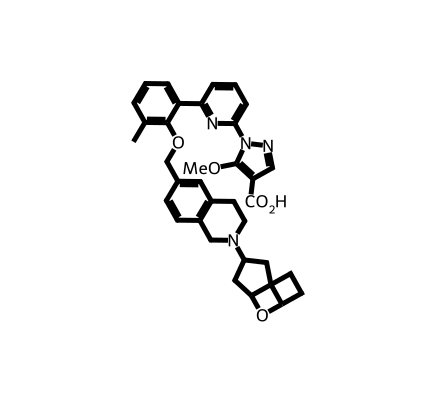 COc1c(C(=O)O)cnn1-c1cccc(-c2cccc(C)c2OCc2ccc3c(c2)CCN(C2CC4OC5CCC54C2)C3)n1